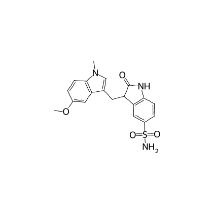 COc1ccc2c(c1)c(CC1C(=O)Nc3ccc(S(N)(=O)=O)cc31)cn2C